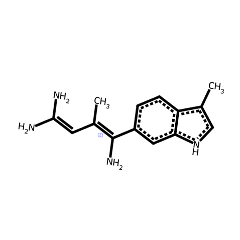 C/C(C=C(N)N)=C(/N)c1ccc2c(C)c[nH]c2c1